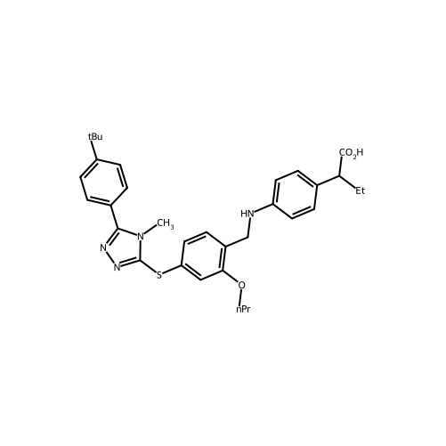 CCCOc1cc(Sc2nnc(-c3ccc(C(C)(C)C)cc3)n2C)ccc1CNc1ccc(C(CC)C(=O)O)cc1